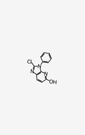 Oc1ccc2nc(Cl)n(-c3ccccc3)c2n1